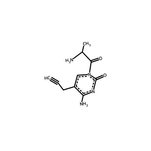 C#CCc1cn(C(=O)C(C)N)c(=O)nc1N